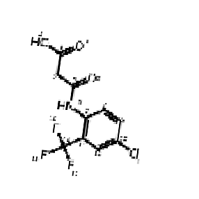 O=C(O)CC(=O)Nc1ccc(Cl)cc1C(F)(F)F